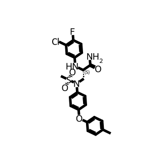 Cc1ccc(Oc2ccc(N(C[C@H](Nc3ccc(F)c(Cl)c3)C(N)=O)S(C)(=O)=O)cc2)cc1